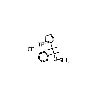 CC(C)(C1=[C]([Ti+2])CC=C1)C(C)(O[SiH3])c1ccccc1.[Cl-].[Cl-]